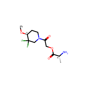 CC(C)O[C@H]1CCN(C(=O)COC(=O)[C@@H](C)N)CC1(F)F